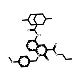 CCCOC(=O)c1cc2c(NC(=O)C34CC(C)CC(CC(C)C3)C4)cccc2n(Cc2ccc(OC)cc2)c1=O